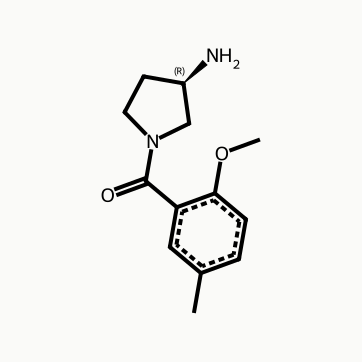 COc1ccc(C)cc1C(=O)N1CC[C@@H](N)C1